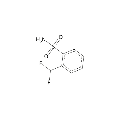 NS(=O)(=O)c1ccccc1C(F)F